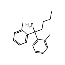 CCCCC(P)(c1ccccc1C)c1ccccc1C